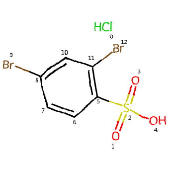 Cl.O=S(=O)(O)c1ccc(Br)cc1Br